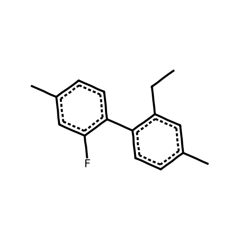 CCc1cc(C)ccc1-c1ccc(C)cc1F